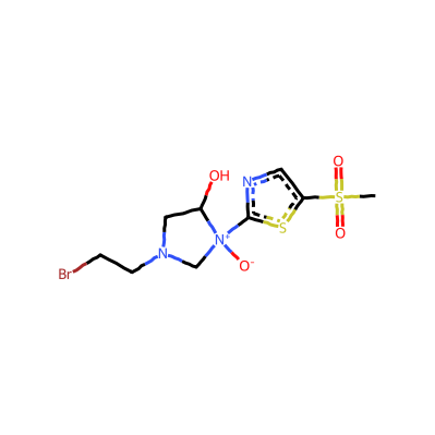 CS(=O)(=O)c1cnc([N+]2([O-])CN(CCBr)CC2O)s1